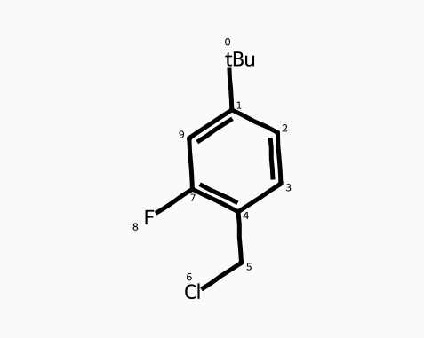 CC(C)(C)c1ccc(CCl)c(F)c1